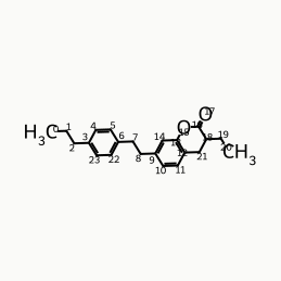 CCCc1ccc(CCc2ccc3c(c2)OC(=O)C(CC)C3)cc1